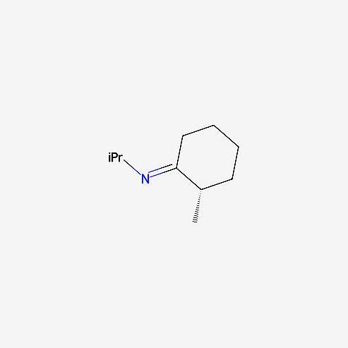 CC(C)/N=C1\CCCC[C@@H]1C